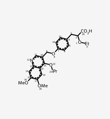 CCOC(Cc1ccc(OCc2cnc3cc(OC)c(OC)cc3c2OC(C)C)cc1)C(=O)O